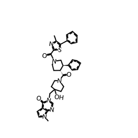 Cc1nc(C(=O)N2CC[C@@H](C(=O)N3CCC(O)(Cn4cnc5c(ccn5C)c4=O)CC3)[C@H](c3ccccc3)C2)sc1-c1ccccc1